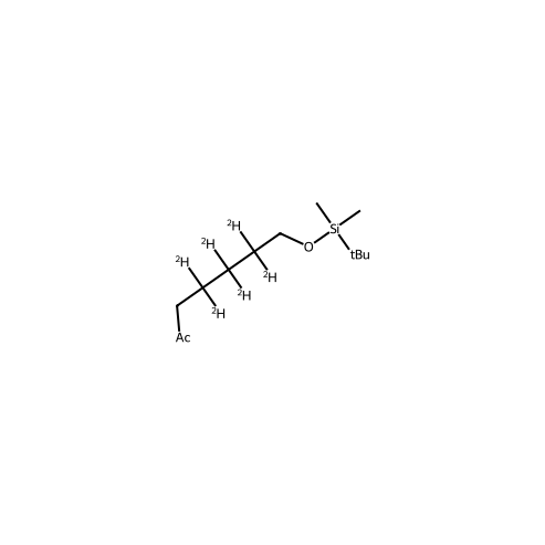 [2H]C([2H])(CO[Si](C)(C)C(C)(C)C)C([2H])([2H])C([2H])([2H])CC(C)=O